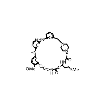 COc1ccc2cc1OCCNC(=O)CC(CCSC)NC(=O)CN1CCN(CC1)Cc1cccc(c1)Nc1cc(ncn1)N2